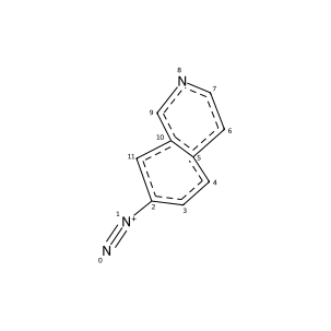 N#[N+]c1ccc2ccncc2c1